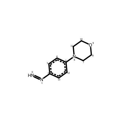 N=Nc1ccc(N2CCOCC2)cc1